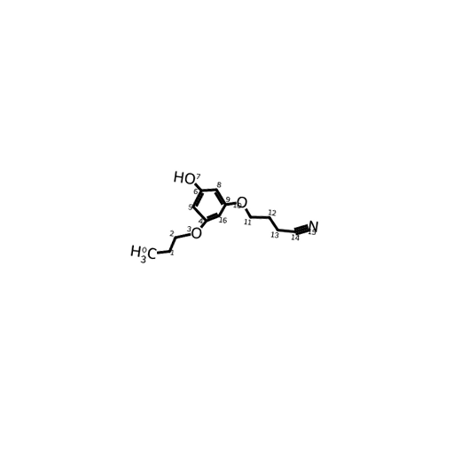 CCCOc1cc(O)cc(OCCCC#N)c1